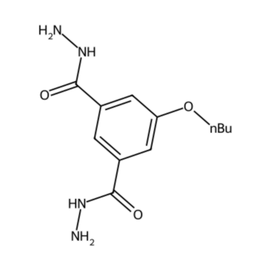 CCCCOc1cc(C(=O)NN)cc(C(=O)NN)c1